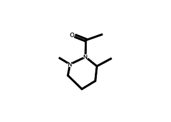 CC(=O)N1C(C)CCCN1C